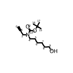 C#CCN(CCCCCCO)C(=O)OC(C)(C)C